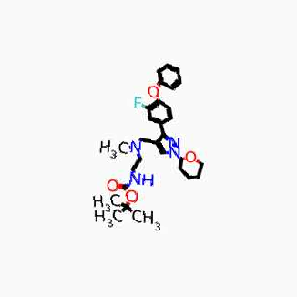 CN(CCNC(=O)OC(C)(C)C)Cc1cn(C2CCCCO2)nc1-c1ccc(Oc2ccccc2)c(F)c1